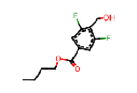 CCCCOC(=O)c1cc(F)c(CO)c(F)c1